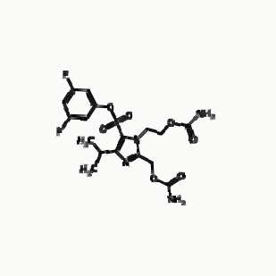 CC(C)c1nc(COC(N)=O)n(CCOC(N)=O)c1S(=O)(=O)Oc1cc(F)cc(F)c1